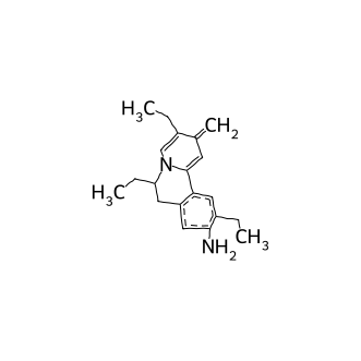 C=C1C=C2c3cc(CC)c(N)cc3CC(CC)N2C=C1CC